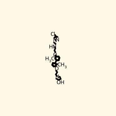 Cc1c(OCCCNCCn2cc(Cl)cn2)cccc1-c1cccc(OCCCN2CCC(O)C2)c1C